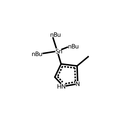 CCC[CH2][Sn]([CH2]CCC)([CH2]CCC)[c]1c[nH]nc1C